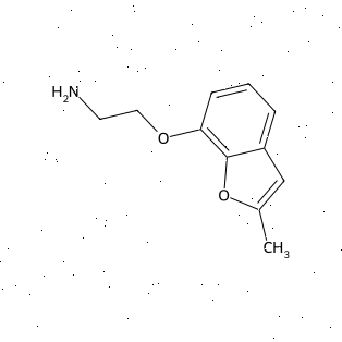 Cc1cc2cccc(OCCN)c2o1